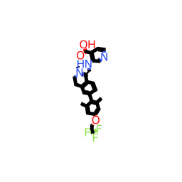 Cc1cc(OCC(F)(F)F)cc(C)c1-c1ccc2c(c1)CCN(C)[C@H]2CNc1cnccc1C(=O)O